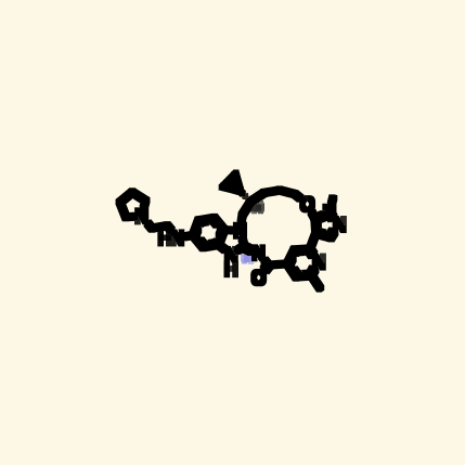 Cc1cc2cc(n1)-c1cnn(C)c1OCCC[C@@H](C1CC1)CN1/C(=N/C2=O)Nc2cc(NCCN3CCCC3)ccc21